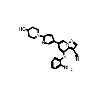 N#Cc1cnn2cc(-c3ccc(N4CCC(O)CC4)nc3)cc(Sc3ccccc3N)c12